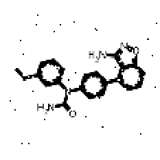 CCc1cccc(N(C(N)=O)c2ccc(-c3cccc4onc(N)c34)cc2)c1